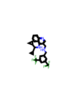 FC(F)(F)c1cc(CNCc2cnc3ccccc3c2NC(C2CC2)C2CC2)cc(C(F)(F)F)c1